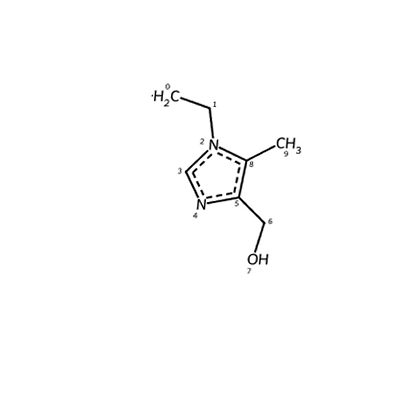 [CH2]Cn1cnc(CO)c1C